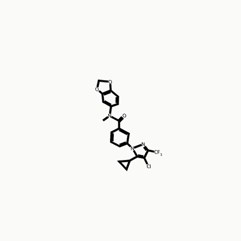 CN(C(=O)c1cccc(-n2nc(C(F)(F)F)c(Cl)c2C2CC2)c1)c1ccc2c(c1)OCO2